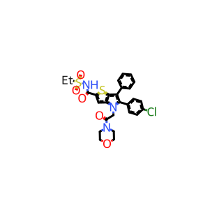 CCS(=O)(=O)NC(=O)c1cc2c(s1)c(-c1ccccc1)c(-c1ccc(Cl)cc1)n2CC(=O)N1CCOCC1